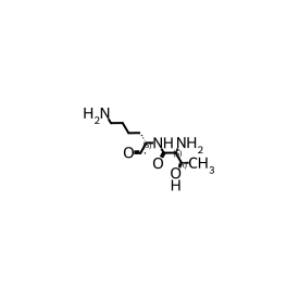 C[C@@H](O)[C@H](N)C(=O)N[C@H]([C]=O)CCCCN